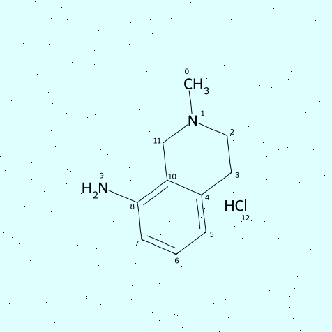 CN1CCc2cccc(N)c2C1.Cl